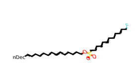 CCCCCCCCCCCCCCCCCCCCCCCCOS(=O)(=O)CCCCCCCCCCCCF